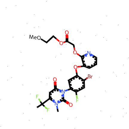 COCCOC(=O)COc1ncccc1Oc1cc(-n2c(=O)cc(C(C)(F)F)n(C)c2=O)c(F)cc1Br